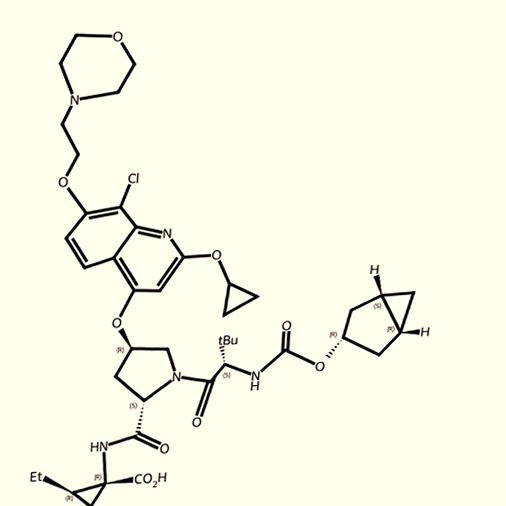 CC[C@@H]1C[C@]1(NC(=O)[C@@H]1C[C@@H](Oc2cc(OC3CC3)nc3c(Cl)c(OCCN4CCOCC4)ccc23)CN1C(=O)[C@@H](NC(=O)O[C@@H]1C[C@@H]2C[C@@H]2C1)C(C)(C)C)C(=O)O